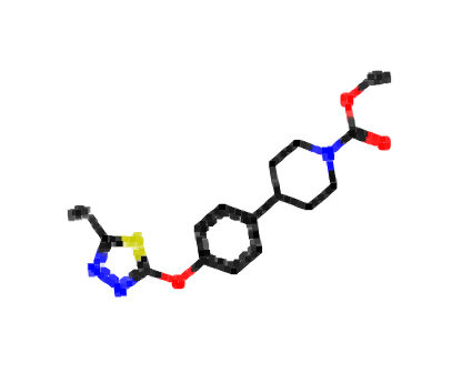 CCCc1nnc(Oc2ccc(C3CCN(C(=O)OC(C)(C)C)CC3)cc2)s1